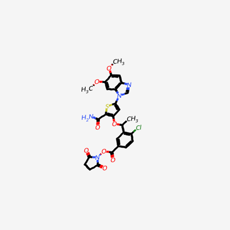 COc1cc2ncn(-c3cc(OC(C)c4cc(C(=O)ON5C(=O)CCC5=O)ccc4Cl)c(C(N)=O)s3)c2cc1OC